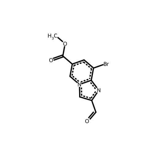 COC(=O)c1cc(Br)c2nc(C=O)cn2c1